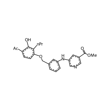 CCCc1c(OCc2cccc(Nc3cncc(C(=O)OC)c3)c2)ccc(C(C)=O)c1O